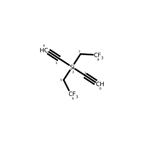 C#C[Si](C#C)(CC(F)(F)F)CC(F)(F)F